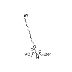 CCCCCCCCCCCC(=O)N[C@@H](CC(=O)OCCCCCCCCCCCCCCCC(C)C)C(=O)O